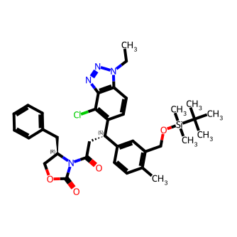 CCn1nnc2c(Cl)c([C@@H](CC(=O)N3C(=O)OC[C@H]3Cc3ccccc3)c3ccc(C)c(CO[Si](C)(C)C(C)(C)C)c3)ccc21